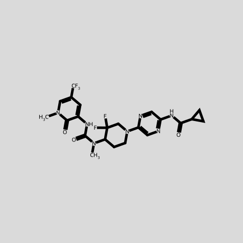 CN(C(=O)Nc1cc(C(F)(F)F)cn(C)c1=O)C1CCN(c2cnc(NC(=O)C3CC3)cn2)CC1(F)F